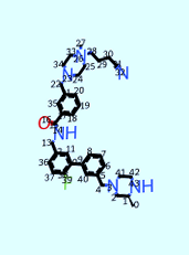 C[C@H]1CN(Cc2cccc(-c3cc(CNC(=O)c4cccc(CN5CC[N+](C)(CCCC#N)CC5)c4)ccc3F)c2)CCN1